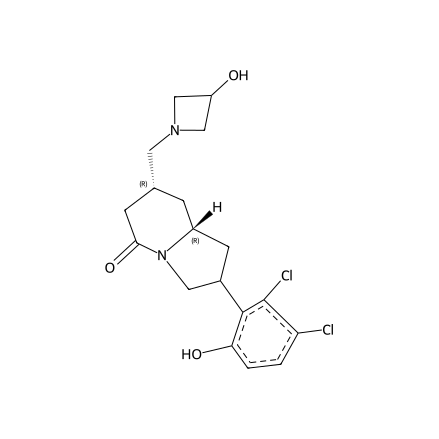 O=C1C[C@H](CN2CC(O)C2)C[C@@H]2CC(c3c(O)ccc(Cl)c3Cl)CN12